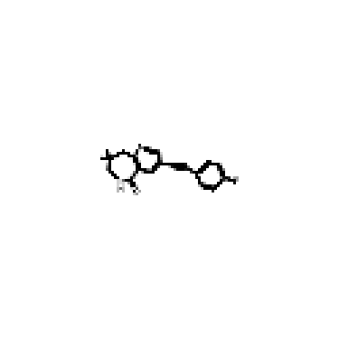 CC1(C)CNC(=O)c2cc(C#Cc3ccc(F)cc3)cnc2C1